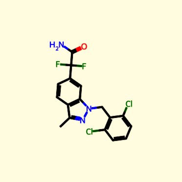 Cc1nn(Cc2c(Cl)cccc2Cl)c2cc(C(F)(F)C(N)=O)ccc12